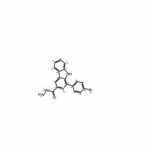 NNC(=O)c1cc2c([nH]c3ccccc32)c(-c2ccc(Br)cc2)n1